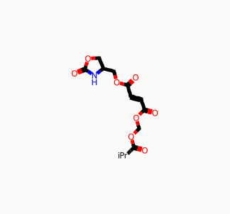 CC(C)C(=O)OCOC(=O)C=CC(=O)OCC1COC(=O)N1